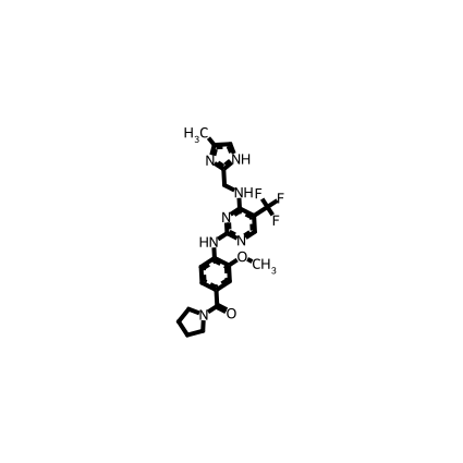 COc1cc(C(=O)N2CCCC2)ccc1Nc1ncc(C(F)(F)F)c(NCc2nc(C)c[nH]2)n1